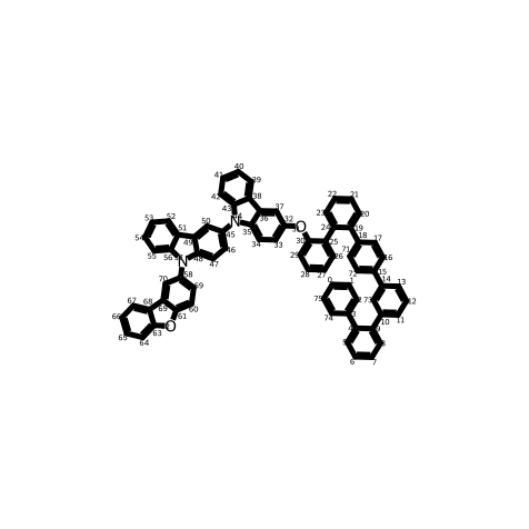 c1ccc(-c2ccccc2-c2cccc(-c3ccc(-c4ccccc4-c4ccccc4Oc4ccc5c(c4)c4ccccc4n5-c4ccc5c(c4)c4ccccc4n5-c4ccc5oc6ccccc6c5c4)cc3)c2)cc1